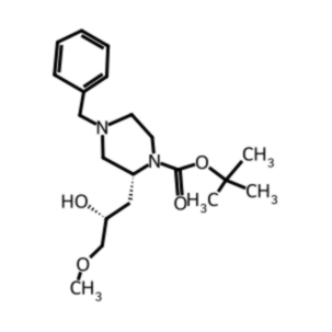 COC[C@H](O)C[C@@H]1CN(Cc2ccccc2)CCN1C(=O)OC(C)(C)C